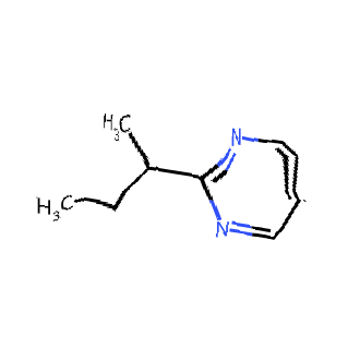 CCC(C)c1nc[c]cn1